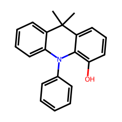 CC1(C)c2ccccc2N(c2ccccc2)c2c(O)cccc21